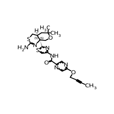 CC#CCOc1cnc(C(=O)Nc2csc([C@@]34COC(C)(C)C[C@@H]3CSC(N)=N4)n2)cn1